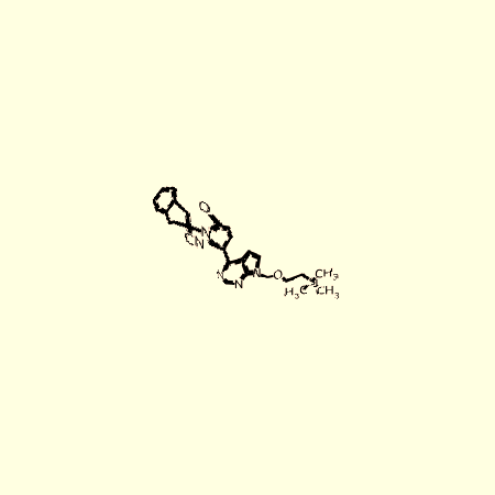 C[Si](C)(C)CCOCn1ccc2c(-c3ccc(=O)n(C4(C#N)Cc5ccccc5C4)c3)ncnc21